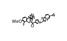 COc1ccc(-n2cnnn2)c(CNC(=O)c2ccn(Cc3cn4cc(C5CC5)ccc4n3)c2)c1F